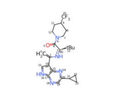 C=C(N[C@@H](C(=O)N1CCC(C(F)(F)F)CC1)C(C)(C)C)c1c[nH]c2ncc(C3CC3)nc12